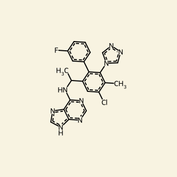 Cc1c(Cl)cc(C(C)Nc2ncnc3[nH]cnc23)c(-c2cccc(F)c2)c1-n1cnnc1